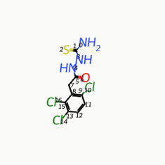 NC(=S)NNC(=O)Cc1c(Cl)ccc(Cl)c1Cl